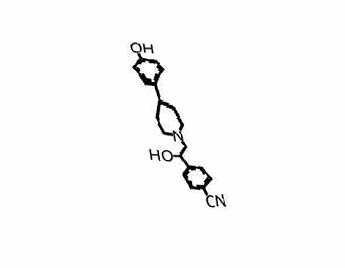 N#Cc1ccc(C(O)CN2CCC(c3ccc(O)cc3)CC2)cc1